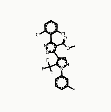 COC(=O)c1c(-c2c(Cl)cccc2Cl)noc1-c1cnn(-c2cccc(F)c2)c1C(F)(F)F